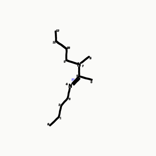 CCCC/N=C(\C)N(C)CCCC